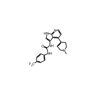 CN1CC=C(c2ccnc3[nH]cc(NC(=O)Nc4ccc(C(F)(F)F)cc4)c23)CC1